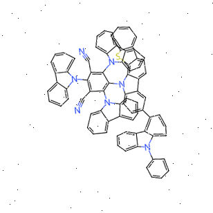 N#Cc1c(-n2c3ccccc3c3ccccc32)c(C#N)c(-n2c3ccccc3c3ccccc32)c(-n2c3ccc(-c4cccc5c4c4ccccc4n5-c4ccccc4)cc3c3ccc4c5ccccc5sc4c32)c1-n1c2ccccc2c2ccccc21